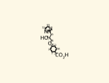 O=C(O)c1ccc(OC[C@H](O)Cn2nccn2)cc1